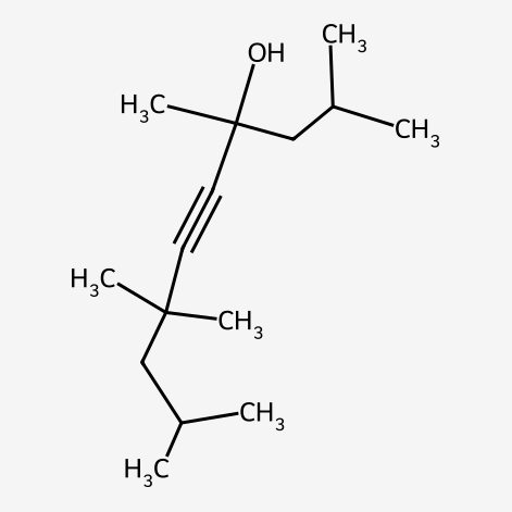 CC(C)CC(C)(C)C#CC(C)(O)CC(C)C